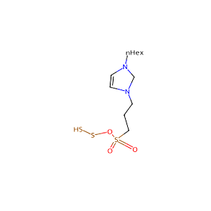 CCCCCCN1C=CN(CCCS(=O)(=O)OSS)C1